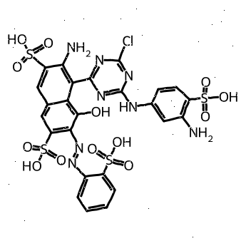 Nc1cc(Nc2nc(Cl)nc(-c3c(N)c(S(=O)(=O)O)cc4cc(S(=O)(=O)O)c(N=Nc5ccccc5S(=O)(=O)O)c(O)c34)n2)ccc1S(=O)(=O)O